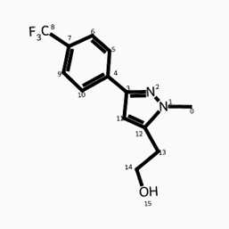 Cn1nc(-c2ccc(C(F)(F)F)cc2)cc1CCO